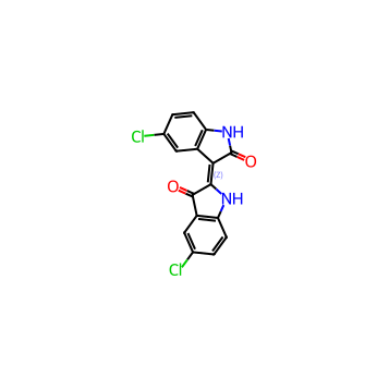 O=C1Nc2ccc(Cl)cc2/C1=C1/Nc2ccc(Cl)cc2C1=O